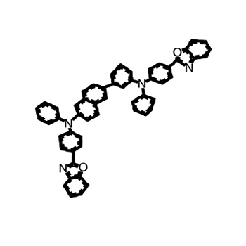 c1ccc(N(c2ccc(-c3nc4ccccc4o3)cc2)c2cccc(-c3ccc4cc(N(c5ccccc5)c5ccc(-c6nc7ccccc7o6)cc5)ccc4c3)c2)cc1